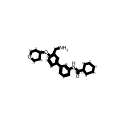 NCc1cc(-c2cccc(NC(=O)C3CCCCC3)c2)ccc1OC1CCOCC1